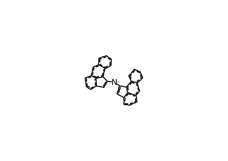 C1=C([N]C2=Cc3cccc4cc5ccccc5c2c34)c2c3ccccc3cc3cccc1c23